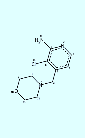 Nc1nccc(CN2CCOCC2)c1Cl